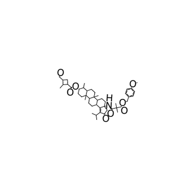 COc1ccc(COC(=O)C(C)(C)C(=O)NC23CCC4C(CCC5C4(C)CCC4C(C)C(OC(=O)C6CC(C=O)C6C)CCC45C)C2=C(C(C)C)C(=O)C3)cc1